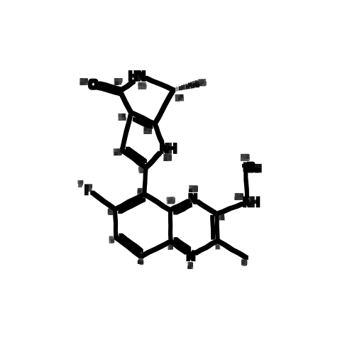 Cc1nc2ccc(F)c(-c3cc4c([nH]3)[C@@H](C)NC4=O)c2nc1NC(C)(C)C